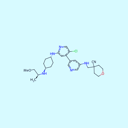 COC[C@H](C)N[C@H]1CC[C@H](Nc2cc(-c3cncc(NCC4(C#N)CCOCC4)c3)c(Cl)cn2)CC1